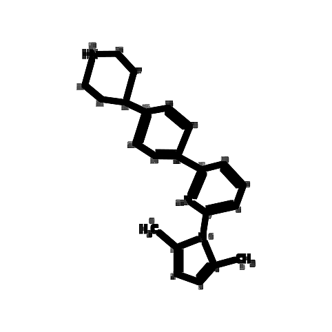 Cc1ccc(C)n1-c1cccc(-c2ccc(C3CCNCC3)cc2)n1